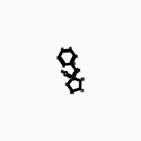 O=S1(=Nc2ccccc2)CCCC1